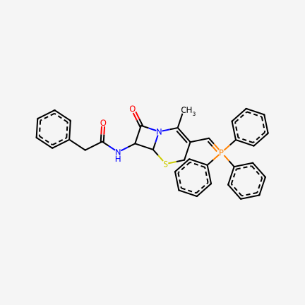 CC1=C(C=P(c2ccccc2)(c2ccccc2)c2ccccc2)CSC2C(NC(=O)Cc3ccccc3)C(=O)N12